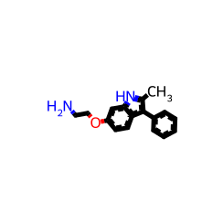 Cc1[nH]c2cc(OCCN)ccc2c1-c1ccccc1